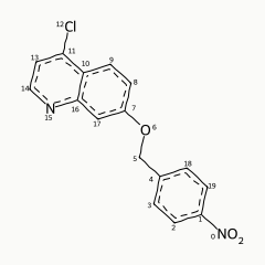 O=[N+]([O-])c1ccc(COc2ccc3c(Cl)ccnc3c2)cc1